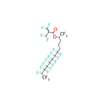 O=C(OC(CCCC(F)(F)C(F)(F)C(F)(F)C(F)(F)C(F)(F)C(F)(F)C(F)C(F)(F)F)C(F)(F)F)C(=C(F)F)C(F)F